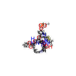 CCOP(C)(=O)COc1ccc2c(O[C@@H]3C[C@H]4C(=O)N[C@]5(C(=O)O)C[C@H]5/C=C\CCCCC[C@H](NC(=O)OC5CCCC5)C(=O)N4C3)cc(-c3csc(NC(C)C)n3)nc2c1